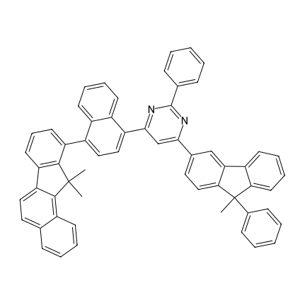 CC1(C)c2c(cccc2-c2ccc(-c3cc(-c4ccc5c(c4)-c4ccccc4C5(C)c4ccccc4)nc(-c4ccccc4)n3)c3ccccc23)-c2ccc3ccccc3c21